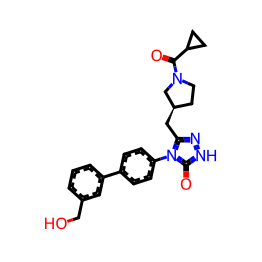 O=C(C1CC1)N1CC[C@@H](Cc2n[nH]c(=O)n2-c2ccc(-c3cccc(CO)c3)cc2)C1